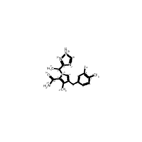 Cc1c(Cc2ccc(C(F)(F)F)c(F)c2)cn(C(C)c2nc[nH]n2)c1C(N)=O